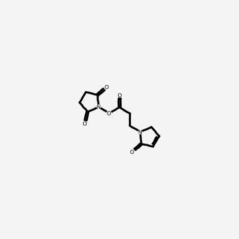 O=C(CCN1CC=CC1=O)ON1C(=O)CCC1=O